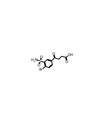 NS(=O)(=O)c1cc(C(=O)CCC(=O)O)ccc1Br